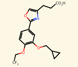 O=C(O)CCc1coc(-c2ccc(OCC(F)(F)F)c(OCC3CC3)c2)n1